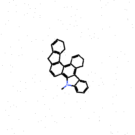 Cn1c2ccccc2c2c3c(c4c5c(ccc4c21)CC1=C5CCC=C1)C=CCC3